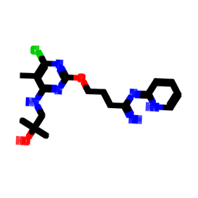 Cc1c(Cl)nc(OCCCC(=N)/N=c2/cccc[nH]2)nc1NCC(C)(C)O